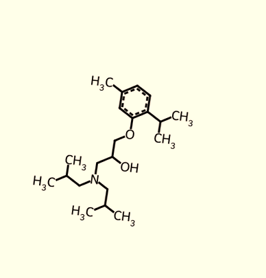 Cc1ccc(C(C)C)c(OCC(O)CN(CC(C)C)CC(C)C)c1